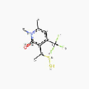 Cc1cc(C(F)(F)F)c(C(C)SS)c(=O)n1C